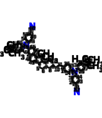 CC1(C)c2c(ccc3cc(/C=C/c4ccc(N(c5ccc(C#N)cc5)c5ccc([Si](C)(C)C)cc5)cc4)ccc23)-c2ccc3cc(N(c4ccc(C#N)cc4)c4ccc([Si](C)(C)C)cc4)ccc3c21